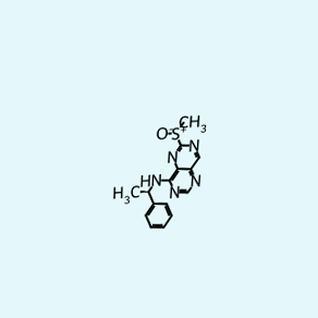 C[C@@H](Nc1ncnc2cnc([S+](C)[O-])nc12)c1ccccc1